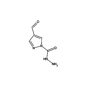 NNC(=O)n1cc(C=O)cn1